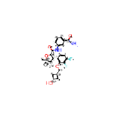 C[C@H]1[C@@H](c2ccc(F)c(F)c2OC[C@H]2C[C@H](O)C2)[C@H](C(=O)Nc2cccc(C(N)=O)c2)O[C@@]1(C)C(F)(F)F